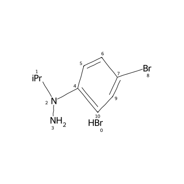 Br.CC(C)N(N)c1ccc(Br)cc1